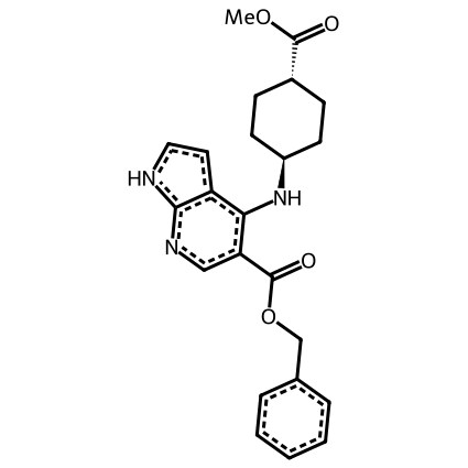 COC(=O)[C@H]1CC[C@H](Nc2c(C(=O)OCc3ccccc3)cnc3[nH]ccc23)CC1